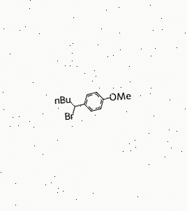 CCCCC(Br)c1ccc(OC)cc1